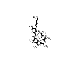 C[C@H](N)C(=O)N[C@@H](C)C(=O)N[C@@H](C)C(=O)N[C@@H](C)C(=O)N[C@@H](C)C(=O)N[C@@H](C)C(=O)N[C@@H](CCCCCN)C(N)=O